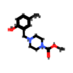 CC(C)(C)OC(=O)N1CCN(Cc2cc([N+](=O)[O-])ccc2O)CC1